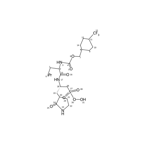 CC(C)CC(NC(=O)OCC1CCC(C(F)(F)F)CC1)C(=O)N[C@@H](CC1CCNC1=O)CS(=O)(=O)OO